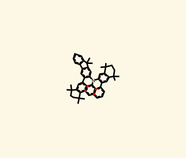 CC1(C)CCC(C)(C)c2cc(-c3cc4c(cc3N(c3ccccc3)c3cc5c(cc3-c3ccccc3)C(C)(C)CCC5(C)C)C(C)(C)c3ccccc3-4)ccc21